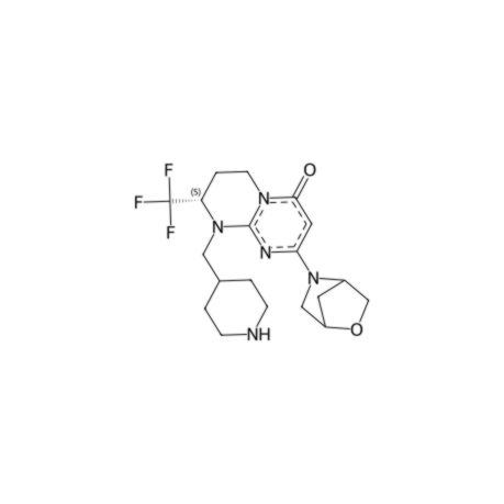 O=c1cc(N2CC3CC2CO3)nc2n1CC[C@@H](C(F)(F)F)N2CC1CCNCC1